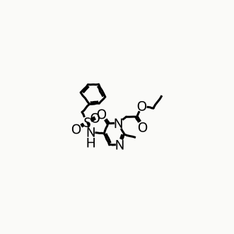 CCOC(=O)Cn1c(C)ncc(NS(=O)(=O)Cc2ccccc2)c1=O